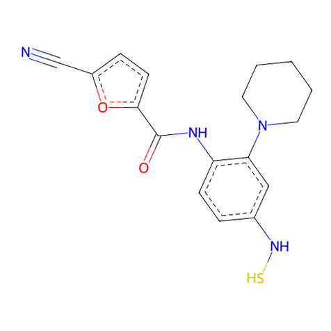 N#Cc1ccc(C(=O)Nc2ccc(NS)cc2N2CCCCC2)o1